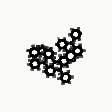 c1ccc(N2c3ccccc3B3c4cc5c(cc4Oc4cccc2c43)N(c2ccccc2)c2cccc3c2B5c2ccc4sc5ccccc5c4c2N3c2ccccc2)cc1